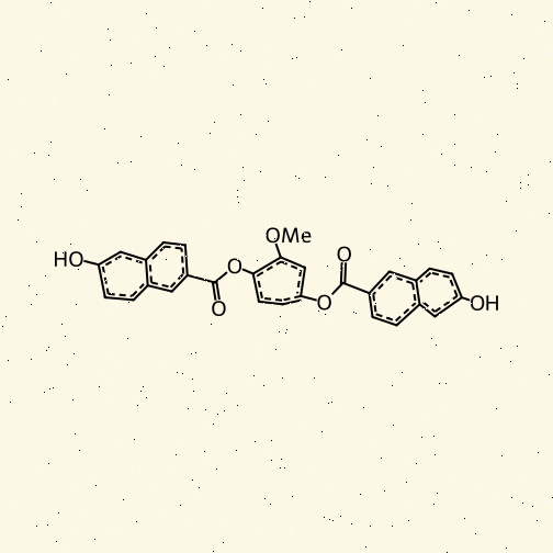 COc1cc(OC(=O)c2ccc3cc(O)ccc3c2)ccc1OC(=O)c1ccc2cc(O)ccc2c1